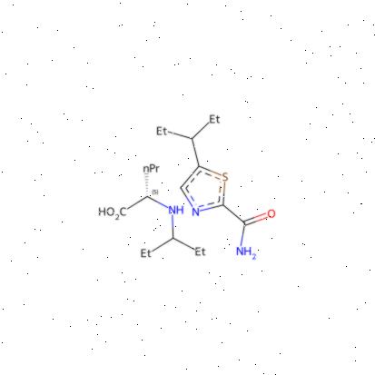 CCC(CC)c1cnc(C(N)=O)s1.CCC[C@H](NC(CC)CC)C(=O)O